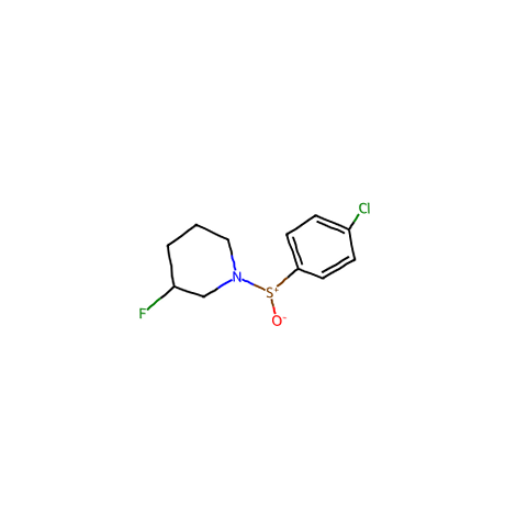 [O-][S+](c1ccc(Cl)cc1)N1CCCC(F)C1